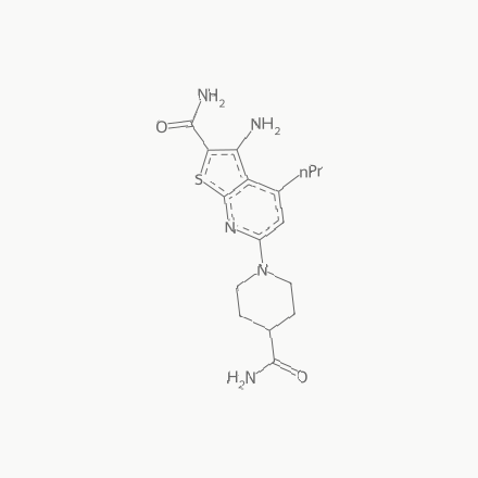 CCCc1cc(N2CCC(C(N)=O)CC2)nc2sc(C(N)=O)c(N)c12